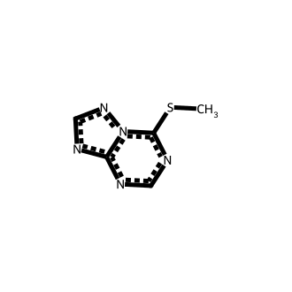 CSc1ncnc2ncnn12